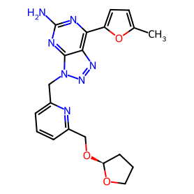 Cc1ccc(-c2nc(N)nc3c2nnn3Cc2cccc(CO[C@H]3CCCO3)n2)o1